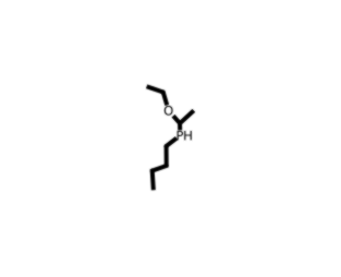 CCCCPC(C)OCC